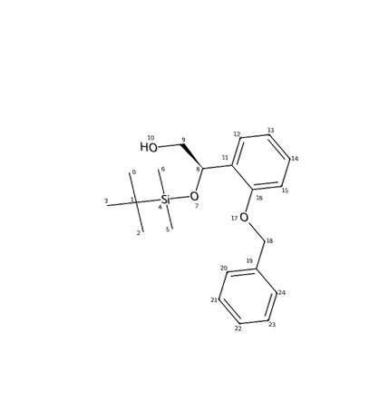 CC(C)(C)[Si](C)(C)O[C@@H](CO)c1ccccc1OCc1ccccc1